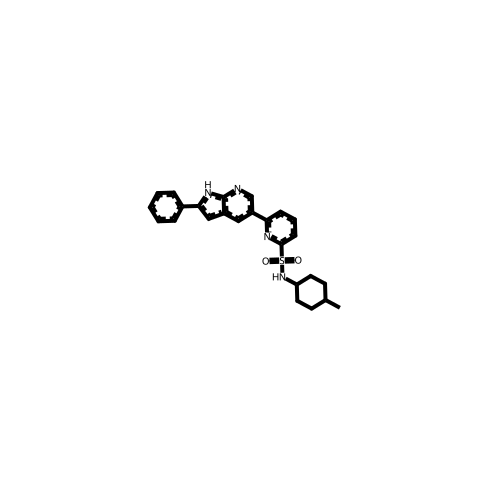 CC1CCC(NS(=O)(=O)c2cccc(-c3cnc4[nH]c(-c5ccccc5)cc4c3)n2)CC1